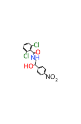 O=C(NCC(O)c1ccc([N+](=O)[O-])cc1)c1c(Cl)cccc1Cl